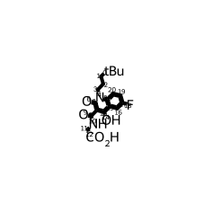 CC(C)(C)CCCn1c(=O)c(C(=O)NCC(=O)O)c(O)c2cc(F)ccc21